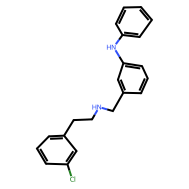 Clc1cccc(CCNCc2cccc(Nc3ccccc3)c2)c1